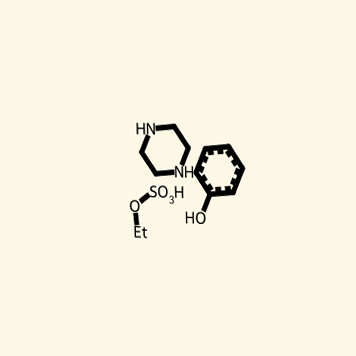 C1CNCCN1.CCOS(=O)(=O)O.Oc1ccccc1